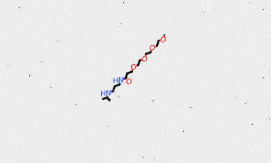 COCCOCCOCCOCCC(=O)NCCCNC(C)C